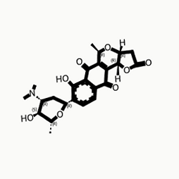 C[C@H]1O[C@@H]2CC(=O)O[C@@H]2C2=C1C(=O)c1c(ccc([C@H]3C[C@@H](N(C)C)[C@H](O)[C@@H](C)O3)c1O)C2=O